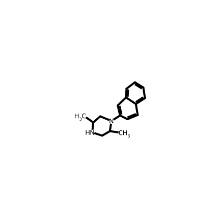 CC1CN(c2ccc3ccccc3c2)C(C)CN1